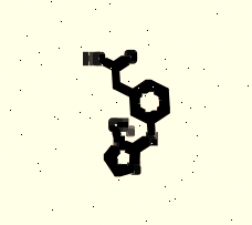 Cn1ccsc1=Nc1cccc(CC(=O)O)c1